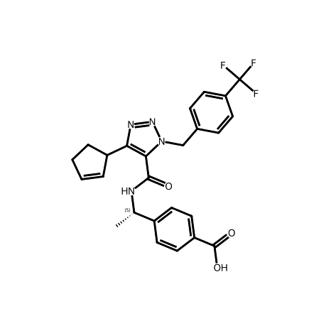 C[C@H](NC(=O)c1c(C2C=CCC2)nnn1Cc1ccc(C(F)(F)F)cc1)c1ccc(C(=O)O)cc1